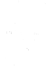 CCc1cc(Br)ccc1CCOC(=O)Nc1ccc(S(=O)(=O)C(C)C)c(CN(C)C(=O)OC(C)(C)C)c1